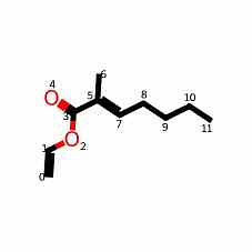 C=COC(=O)C(C)=CCCCC